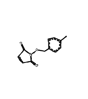 Cc1ccc(CON2C(=O)C=CC2=O)cc1